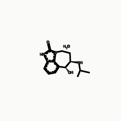 CC(C)N[C@@H]1CCn2c(=O)[nH]c3cccc(c32)[C@H]1O.O